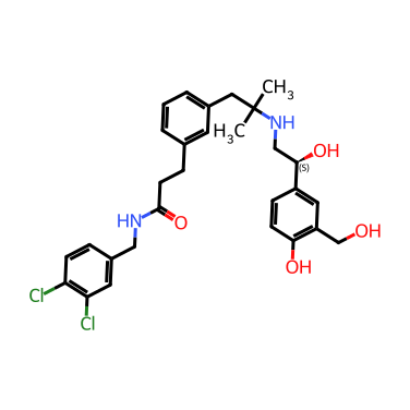 CC(C)(Cc1cccc(CCC(=O)NCc2ccc(Cl)c(Cl)c2)c1)NC[C@@H](O)c1ccc(O)c(CO)c1